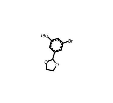 CC(C)(C)c1cc(Br)cc(C2OCCO2)c1